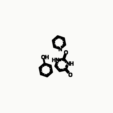 O=c1cc[nH]c(=O)[nH]1.Oc1ccccc1.c1ccncc1